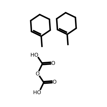 CC1=CCCCC1.CC1=CCCCC1.O=C(O)OC(=O)O